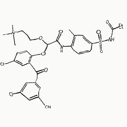 CCC(=O)NS(=O)(=O)c1ccc(NC(=O)C(OCC[N+](C)(C)C)Oc2ccc(Cl)cc2C(=O)c2cc(Cl)cc(C#N)c2)c(C)c1